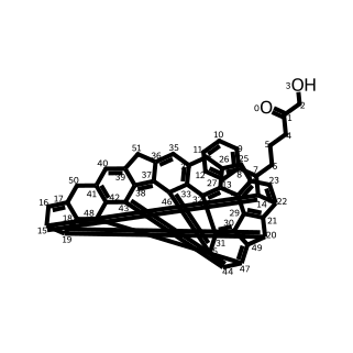 O=C(CO)CCCC(c1ccccc1)c1c2cc3c4c2c2c5c1cc1cc6c7c1c5c1c5c7c7c(cc8c9c%10c(cc(c%11c%10c(c5c97)c(c4%11)c21)C3)C8)C6